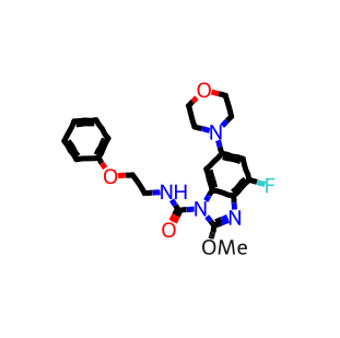 COc1nc2c(F)cc(N3CCOCC3)cc2n1C(=O)NCCOc1ccccc1